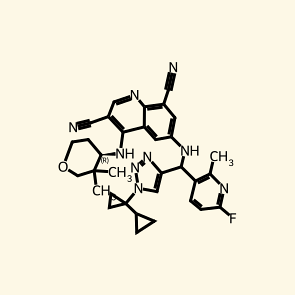 Cc1nc(F)ccc1C(Nc1cc(C#N)c2ncc(C#N)c(N[C@@H]3CCOCC3(C)C)c2c1)c1cn(C2(C3CC3)CC2)nn1